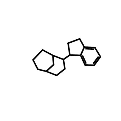 c1ccc2c(c1)CCC2C1CCC2CCC[C]1C2